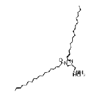 CCCCCCCCCCCCCCCC=CC(=O)N1CC(CCN)N=C1C=CCCCCCCCCCCCCCCC.Cl